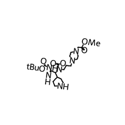 COC(=O)CN1CCN(CC2CN(C(C(=N)NC(=O)OC(C)(C)C)C3CCNCC3)C(=O)O2)CC1